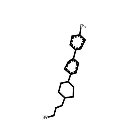 CC(C)CCCC1CCC(c2ccc(-c3ccc(C(F)(F)F)cc3)cc2)CC1